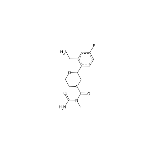 CN(C(N)=O)C(=O)N1CCOC(c2ccc(F)cc2CN)C1